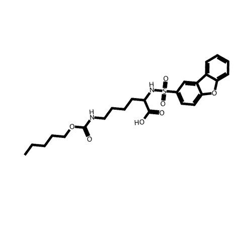 CCCCCOC(=O)NCCCCC(NS(=O)(=O)c1ccc2oc3ccccc3c2c1)C(=O)O